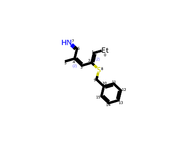 CC/C=C(/C=C(/C)C=N)SCc1ccccc1